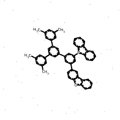 Cc1cc(C)cc(-c2cc(-c3cc(C)cc(C)c3)cc(-c3cc(-c4ccc5oc6ccccc6c5c4)cc(-n4c5ccccc5c5ccccc54)c3)c2)c1